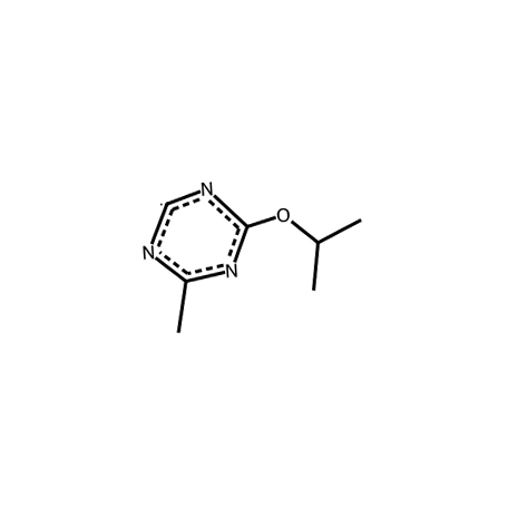 Cc1n[c]nc(OC(C)C)n1